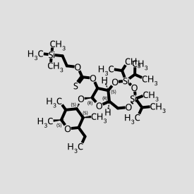 CCC1O[C@@H](C)C(C)[C@H](O[C@@H]2O[C@@H]3CO[Si](C)(C(C)C)O[Si](C(C)C)(C(C)C)O[C@@H]3C2OC(=S)OCC[Si](C)(C)C)[C@H]1C